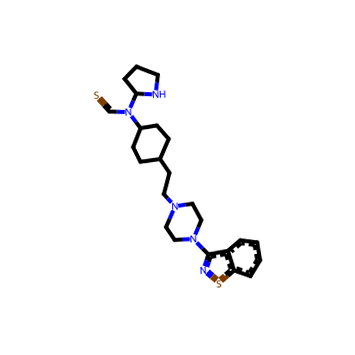 S=CN(C1CCC(CCN2CCN(c3nsc4ccccc34)CC2)CC1)C1CCCN1